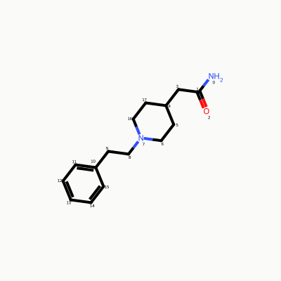 NC(=O)CC1CCN(CCc2ccccc2)CC1